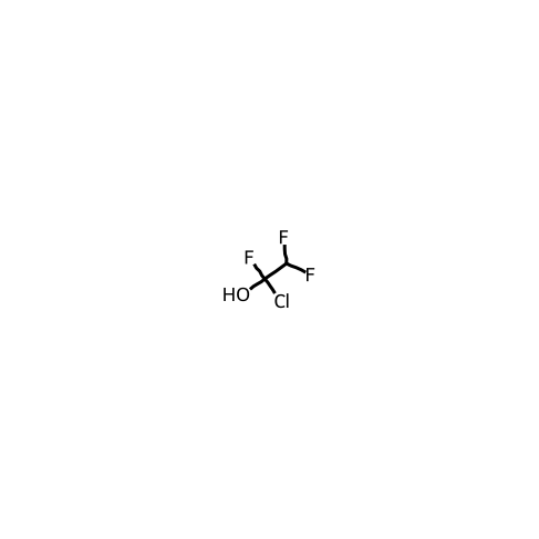 OC(F)(Cl)C(F)F